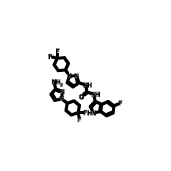 Nc1ccn(C2CCC(F)(F)CC2)n1.O=C(Nc1ccn(C2CCC(F)(F)CC2)n1)Nc1c[nH]c2ccc(F)cc12